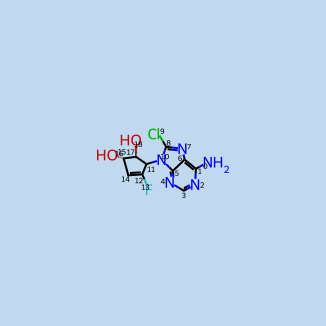 Nc1ncnc2c1nc(Cl)n2C1C(F)=C[C@H](O)[C@H]1O